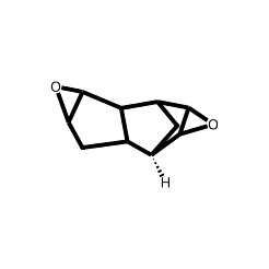 C1C2OC2C2C3C[C@H](C12)C1OC31